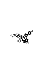 C[C@@H](c1c[nH]c2ccccc12)[C@@H](NC(=O)N1CCC(c2ccc(F)cc2)CC1)C(=O)Nc1nc(CN(C)C)cs1